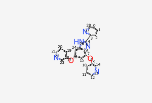 c1ccc(-c2nc3c(Oc4cccnc4)cc(Oc4cccnc4)cc3[nH]2)nc1